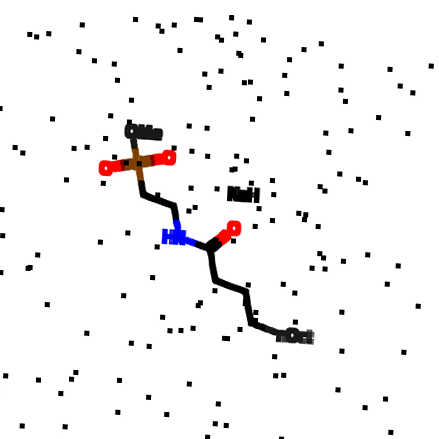 CCCCCCCCCCCC(=O)NCCS(=O)(=O)OC.[NaH]